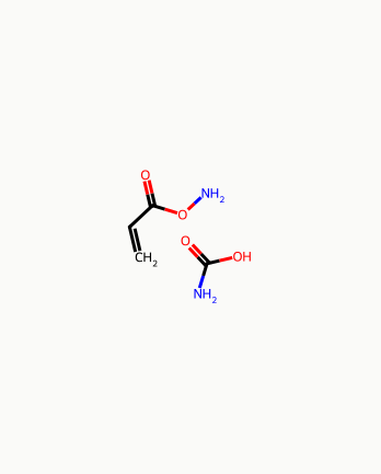 C=CC(=O)ON.NC(=O)O